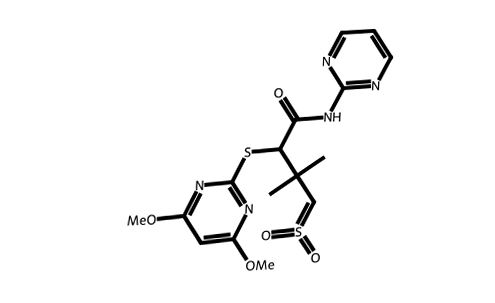 COc1cc(OC)nc(SC(C(=O)Nc2ncccn2)C(C)(C)C=S(=O)=O)n1